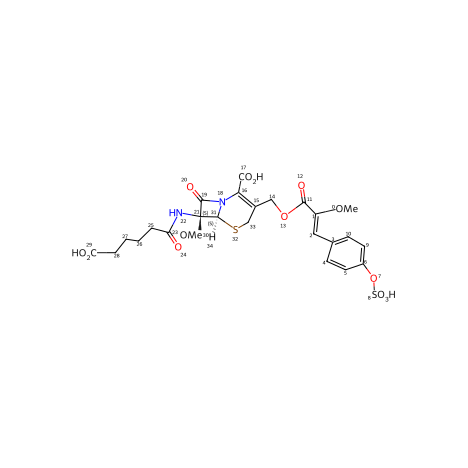 COC(=Cc1ccc(OS(=O)(=O)O)cc1)C(=O)OCC1=C(C(=O)O)N2C(=O)[C@](NC(=O)CCCCC(=O)O)(OC)[C@@H]2SC1